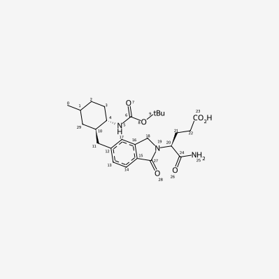 CC1CC[C@H](NC(=O)OC(C)(C)C)[C@@H](Cc2ccc3c(c2)CN([C@@H](CCC(=O)O)C(N)=O)C3=O)C1